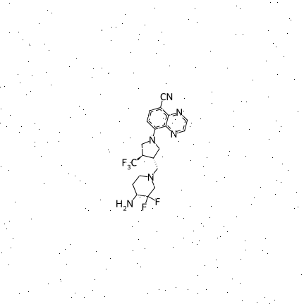 N#Cc1ccc(N2C[C@H](CN3CCC(N)C(F)(F)C3)[C@@H](C(F)(F)F)C2)c2nccnc12